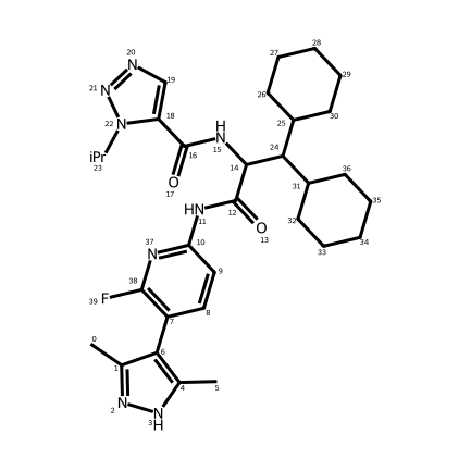 Cc1n[nH]c(C)c1-c1ccc(NC(=O)C(NC(=O)c2cnnn2C(C)C)C(C2CCCCC2)C2CCCCC2)nc1F